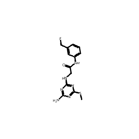 CSc1nc(N)nc(NCC(=O)Nc2cccc(CF)c2)n1